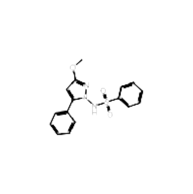 COc1cc(-c2ccccc2)n(NS(=O)(=O)c2ccccc2)n1